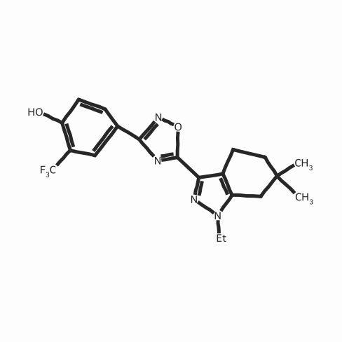 CCn1nc(-c2nc(-c3ccc(O)c(C(F)(F)F)c3)no2)c2c1CC(C)(C)CC2